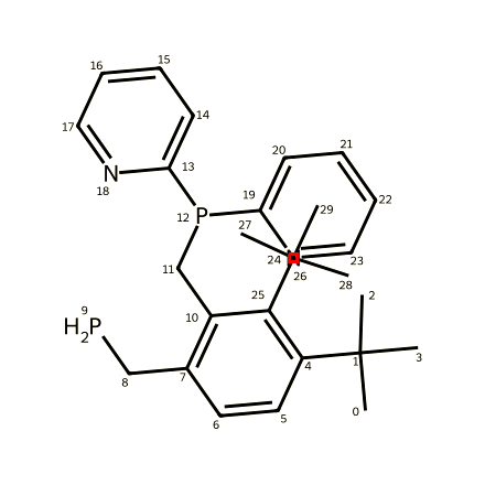 CC(C)(C)c1ccc(CP)c(CP(c2ccccn2)c2ccccn2)c1C(C)(C)C